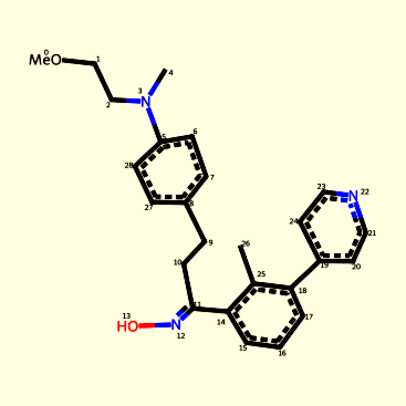 COCCN(C)c1ccc(CC/C(=N\O)c2cccc(-c3ccncc3)c2C)cc1